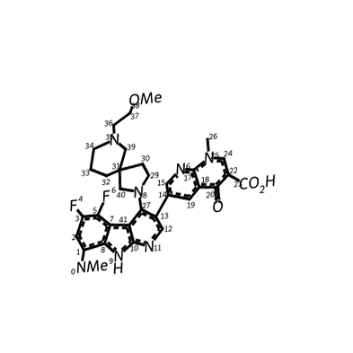 CNc1cc(F)c(F)c2c1[nH]c1ncc(-c3cnc4c(c3)c(=O)c(C(=O)O)cn4C)c(N3CCC4(CCCN(CCOC)C4)C3)c12